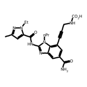 CCCn1c(NC(=O)c2cc(C)nn2CC)nc2cc(C(N)=O)cc(C#CCNC(=O)O)c21